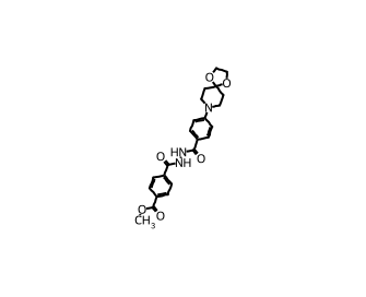 COC(=O)c1ccc(C(=O)NNC(=O)c2ccc(N3CCC4(CC3)OCCO4)cc2)cc1